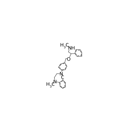 CNCC(OCc1ccc(N2CCN(C)c3ccccc3C2)cc1)c1ccccc1